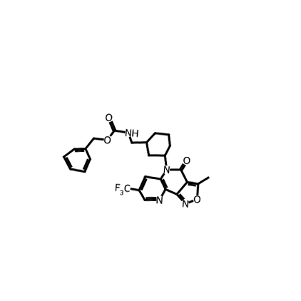 Cc1onc2c1c(=O)n(C1CCCC(CNC(=O)OCc3ccccc3)C1)c1cc(C(F)(F)F)cnc21